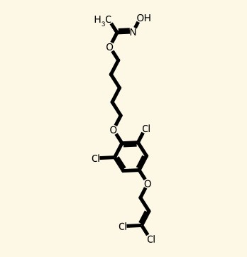 CC(=NO)OCCCCCOc1c(Cl)cc(OCC=C(Cl)Cl)cc1Cl